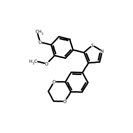 COc1ccc(-c2sncc2-c2ccc3c(c2)OCCO3)cc1OC